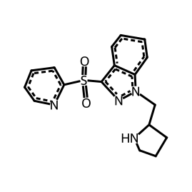 O=S(=O)(c1ccccn1)c1nn(CC2CCCN2)c2ccccc12